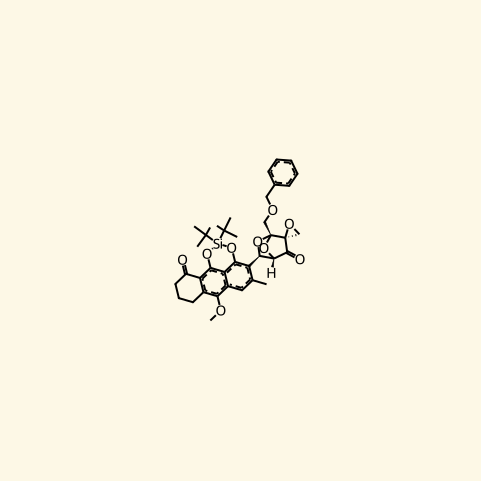 COc1c2c(c3c4c(c([C@H]5O[C@@]6(COCc7ccccc7)O[C@@H]5C(=O)[C@@]65CO5)c(C)cc14)O[Si](C(C)(C)C)(C(C)(C)C)O3)C(=O)CCC2